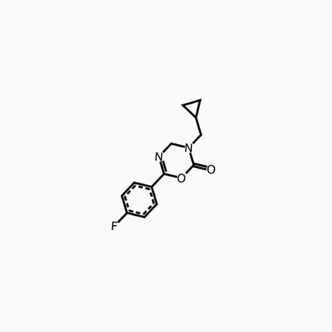 O=C1OC(c2ccc(F)cc2)=NCN1CC1CC1